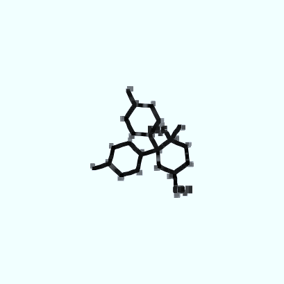 CC1CCC(C2(C3CCC(C)CC3)CC(C(=O)O)CCC2(C)C(=O)O)CC1